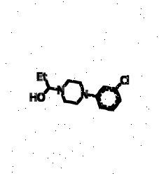 CCC(O)N1CCN(c2cccc(Cl)c2)CC1